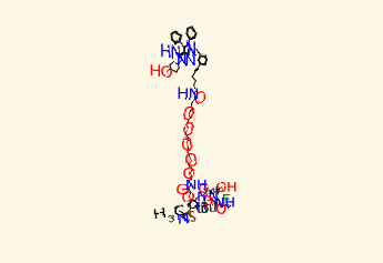 Cc1ncsc1-c1ccc(CNC(=O)[C@@H]2C[C@@H](O)CN2C(=O)[C@@H](NC(=O)C2(F)CC2)C(C)(C)C)c(OCC(=O)NCCOCCOCCOCCOCCOCCC(=O)NCCCCC#Cc2cccc(Cn3c(-c4ccccc4)c(-c4ccccc4)c4c(=N)n(C5CCC(O)CC5)cnc43)c2)c1